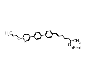 C=CCOc1ccc(-c2ccc(-c3ccc(C=CCCCC(C)OCCCCC)cc3)cc2)cn1